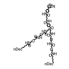 CCCCCCCCCCCCCCCC(=O)NCCOCCC(=O)NCCOCCC(=O)NCCN(CCNC(=O)CCOCCNC(=O)CCOCCNC(=O)CCCCCCCCCCCCCCC)C(=O)c1ccc(C(=O)NCCCC(=O)Nc2ccc(C(=CC#N)SC(C)C)cc2)cc1